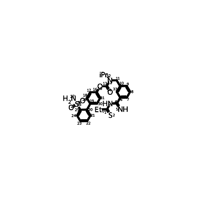 CCC(=S)NC(=N)c1cccc(CN(C(=O)Oc2ccc(-c3ccccc3S(N)(=O)=O)cc2)C(C)C)c1